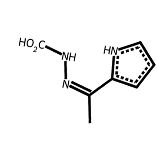 C/C(=N/NC(=O)O)c1ccc[nH]1